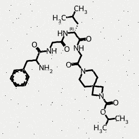 CC(C)C[C@@H](NC(=O)CNC(=O)C(N)Cc1ccccc1)C(=O)NCC(=O)N1CCC2(CC1)CN(C(=O)OC(C)C)C2